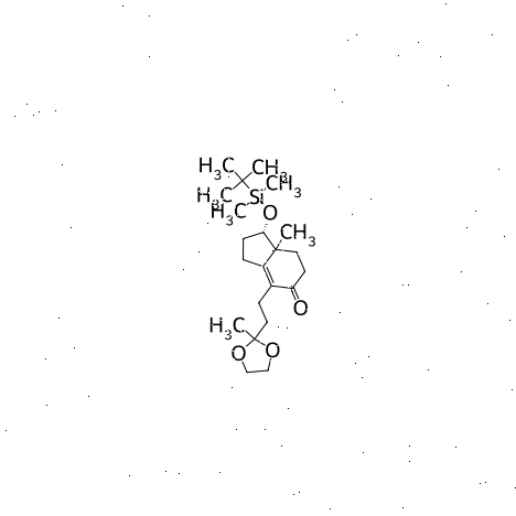 CC1(CCC2=C3CC[C@H](O[Si](C)(C)C(C)(C)C)C3(C)CCC2=O)OCCO1